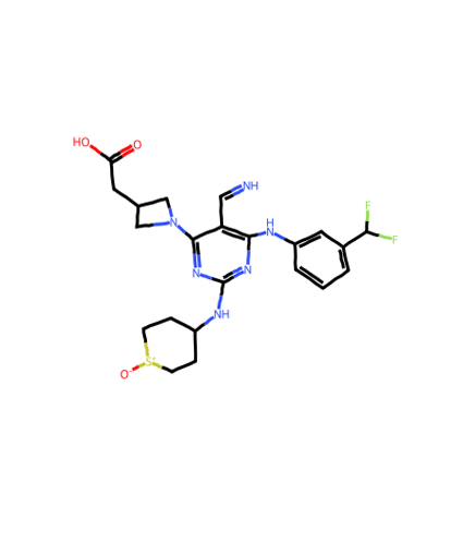 N=Cc1c(Nc2cccc(C(F)F)c2)nc(NC2CC[S+]([O-])CC2)nc1N1CC(CC(=O)O)C1